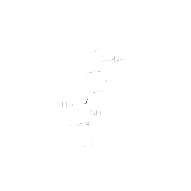 CC(NC(=O)OC(C)(C)C)[C@H]1CC[C@H](C(N)=O)CC1